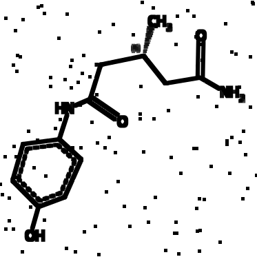 C[C@@H]([CH]C(=O)Nc1ccc(O)cc1)CC(N)=O